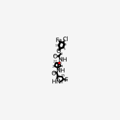 O=C(COc1ccc(Cl)c(F)c1)NC1CC2(NC(=O)C3CNCC(F)C3)CC1C2